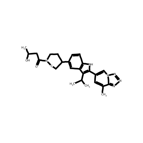 Cc1cc(-c2[nH]c3ccc(C4CCN(C(=O)CC(C)O)CC4)cc3c2C(C)C)cn2nnnc12